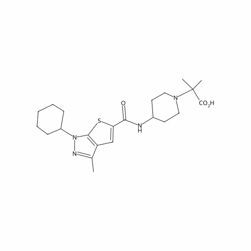 Cc1nn(C2CCCCC2)c2sc(C(=O)NC3CCN(C(C)(C)C(=O)O)CC3)cc12